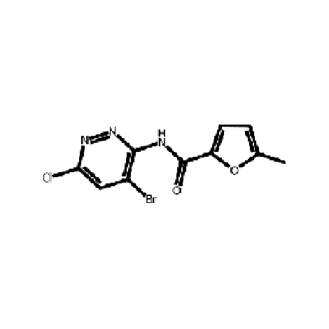 Cc1ccc(C(=O)Nc2nnc(Cl)cc2Br)o1